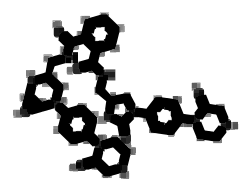 O=C(NC[C@H]1CN(c2ccc(N3CCOCC3=O)cc2)C(=O)O1)c1ccccc1C(=O)NC[C@H]1CN(c2ccc(N3CCOCC3=O)cc2)C2OC2O1